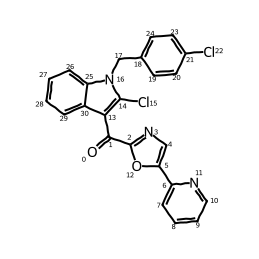 O=C(c1ncc(-c2ccccn2)o1)c1c(Cl)n(Cc2ccc(Cl)cc2)c2ccccc12